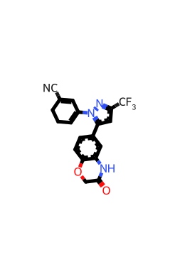 N#CC1=CC(n2nc(C(F)(F)F)cc2-c2ccc3c(c2)NC(=O)CO3)=CCC1